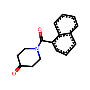 O=C1CCN(C(=O)c2cccc3ccccc23)CC1